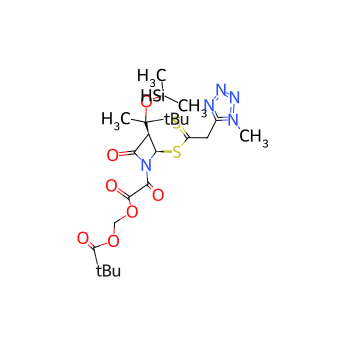 Cn1nnnc1CC(=S)S[C@@H]1[C@H](C(C)(O[SiH](C)C)C(C)(C)C)C(=O)N1C(=O)C(=O)OCOC(=O)C(C)(C)C